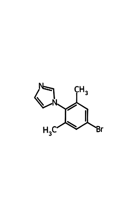 Cc1cc(Br)cc(C)c1-n1ccnc1